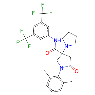 Cc1cccc(C)c1N1CC(C(=O)Nc2cc(C(F)(F)F)cc(C(F)(F)F)c2)(N2CCCC2)CC1=O